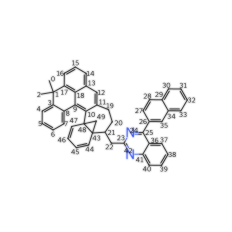 CC1(C)c2ccccc2-c2c3c(cc4cccc1c24)CCC(Cc1nc(-c2ccc4ccccc4c2)c2ccccc2n1)C12C=CC=CC31C2